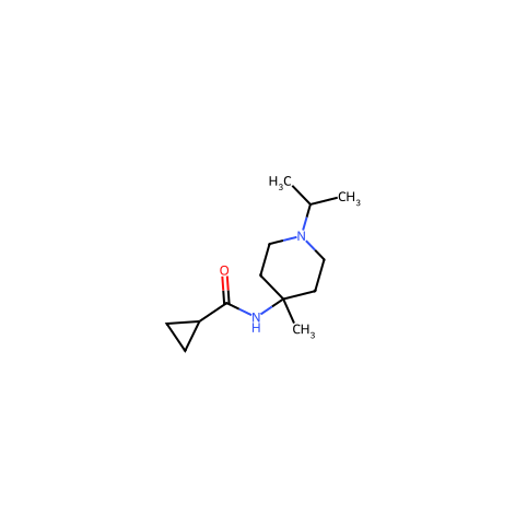 CC(C)N1CCC(C)(NC(=O)C2CC2)CC1